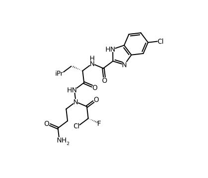 CC(C)C[C@H](NC(=O)c1nc2cc(Cl)ccc2[nH]1)C(=O)NN(CCC(N)=O)C(=O)[C@H](F)Cl